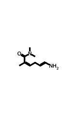 CC(=CCC=CN)C(=O)N(C)C